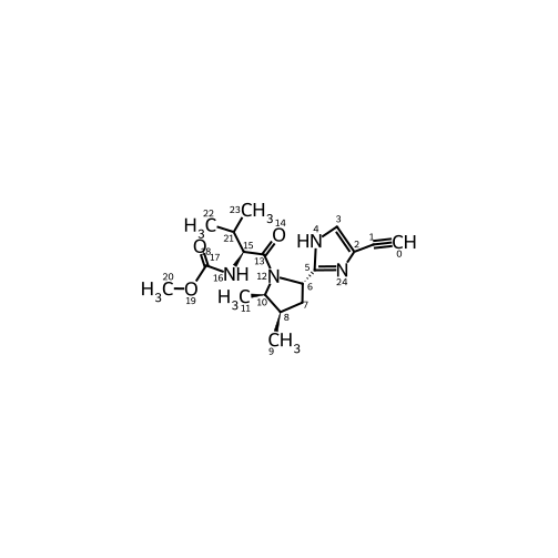 C#Cc1c[nH]c([C@@H]2C[C@@H](C)[C@@H](C)N2C(=O)[C@@H](NC(=O)OC)C(C)C)n1